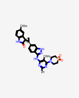 COc1ccc2c(c1)[C@]1(C[C@H]1c1ccc3c(Nc4nc(C(C)C)nc(N5CCS(=O)(=O)CC5)c4OC)n[nH]c3c1)C(=O)N2